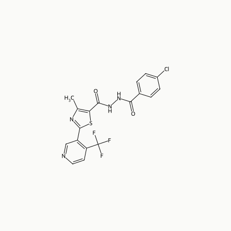 Cc1nc(-c2cnccc2C(F)(F)F)sc1C(=O)NNC(=O)c1ccc(Cl)cc1